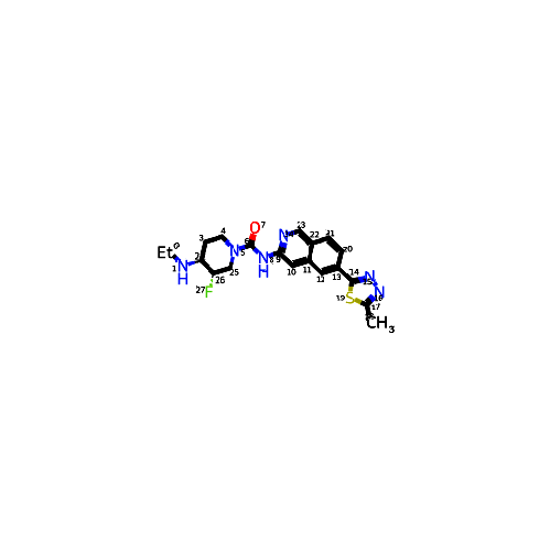 CCN[C@H]1CCN(C(=O)Nc2cc3cc(-c4nnc(C)s4)ccc3cn2)C[C@@H]1F